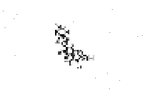 Cc1cnc(COc2ccc3c(C(C)C(=O)O)csc3c2C)c(C)n1